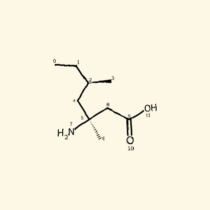 CC[C@@H](C)C[C@](C)(N)CC(=O)O